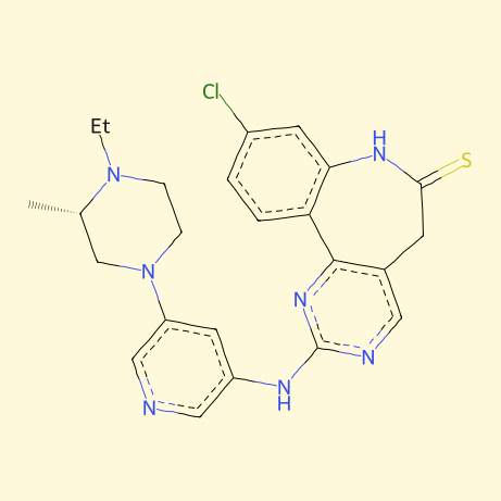 CCN1CCN(c2cncc(Nc3ncc4c(n3)-c3ccc(Cl)cc3NC(=S)C4)c2)C[C@@H]1C